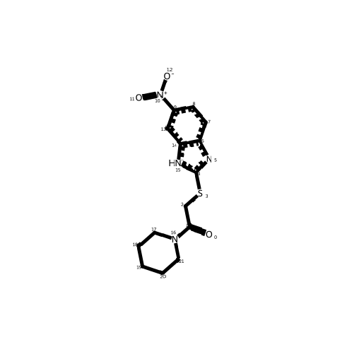 O=C(CSc1nc2ccc([N+](=O)[O-])cc2[nH]1)N1CCCCC1